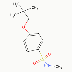 CNS(=O)(=O)c1ccc(OCC(C)(C)C)cc1